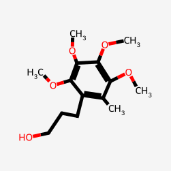 COc1c(C)c(CCCO)c(OC)c(OC)c1OC